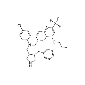 CCCOc1cc(C(F)(F)F)nc2ccc(CN(CC3CNCC3Cc3ccccc3)c3ccc(Cl)cc3)cc12